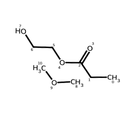 CCC(=O)OCCO.COC